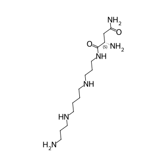 NCCCNCCCCNCCCNC(=O)[C@@H](N)CC(N)=O